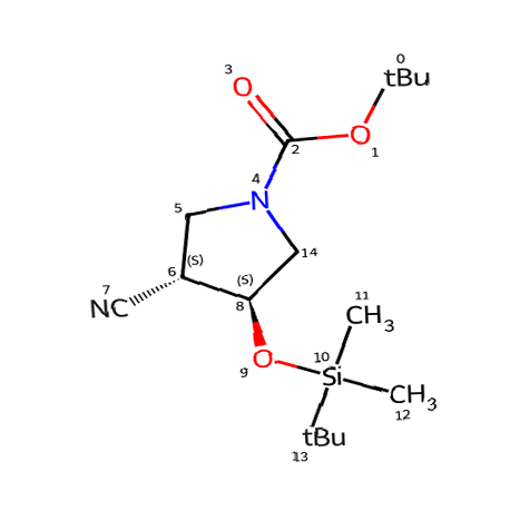 CC(C)(C)OC(=O)N1C[C@@H](C#N)[C@H](O[Si](C)(C)C(C)(C)C)C1